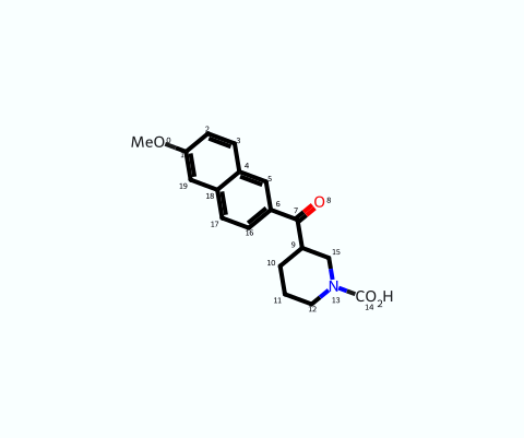 COc1ccc2cc(C(=O)C3CCCN(C(=O)O)C3)ccc2c1